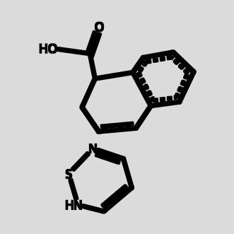 C1=CNSN=C1.O=C(O)C1CC=Cc2ccccc21